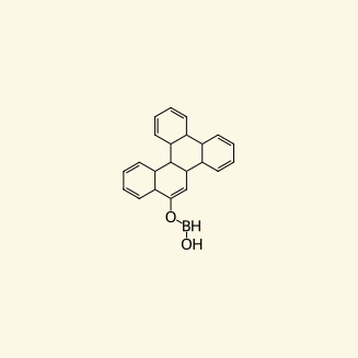 OBOC1=CC2C3C=CC=CC3C3C=CC=CC3C2C2C=CC=CC12